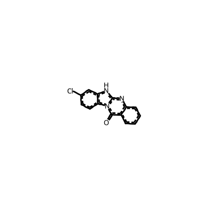 O=c1c2ccccc2nc2[nH]c3cc(Cl)ccc3n12